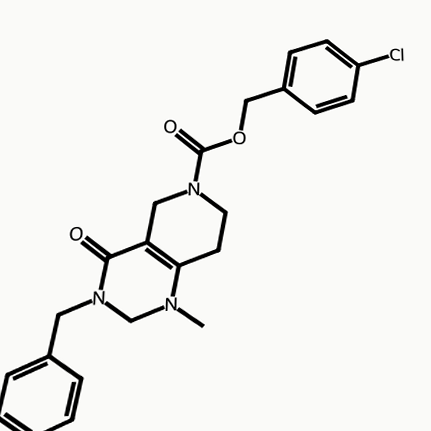 CN1CN(Cc2ccccc2)C(=O)C2=C1CCN(C(=O)OCc1ccc(Cl)cc1)C2